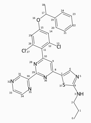 CCCNc1ncc(-c2cc(-c3c(Cl)cc(OC(C)c4ccccc4)cc3Cl)nc(-c3cnccn3)n2)s1